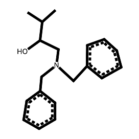 CC(C)C(O)CN(Cc1ccccc1)Cc1ccccc1